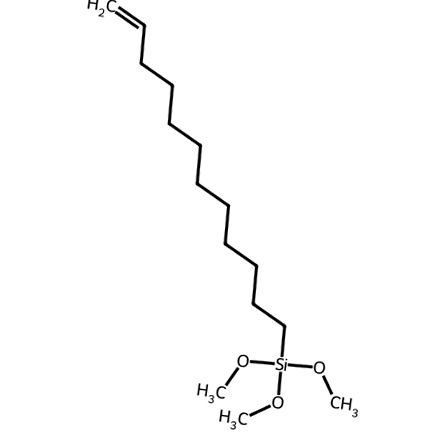 C=CCCCCCCCCCC[Si](OC)(OC)OC